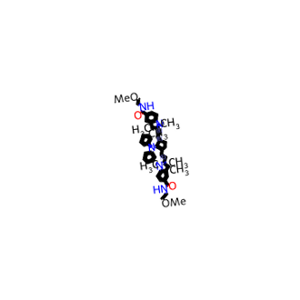 COCCNC(=O)c1ccc2c(c1)C(C)(C)C(/C=C/C1=C(N(c3ccccc3)c3ccccc3)C(=C/C=C3/N(C)c4ccc(C(=O)NCCOC)cc4C3(C)C)/CC1)=[N+]2C